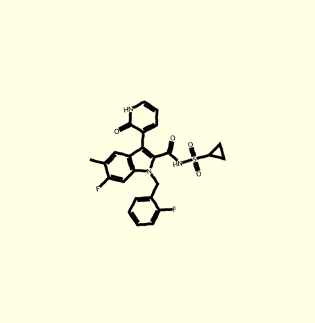 Cc1cc2c(-c3ccc[nH]c3=O)c(C(=O)NS(=O)(=O)C3CC3)n(Cc3ccccc3F)c2cc1F